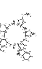 CN1C(=O)[C@H](CN)NC(=O)[C@H](CCCN)NCc2ccccc2Sc2ccc(C(F)(F)F)cc2CNC(=O)[C@@H]1Cc1c[nH]c2ccccc12